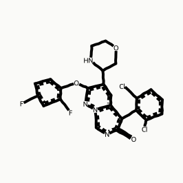 O=c1ncn2nc(Oc3ccc(F)cc3F)c(C3COCCN3)cc2c1-c1c(Cl)cccc1Cl